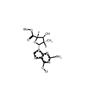 CCOc1nc(N)nc2c1ncn2[C@@H]1O[C@](F)(C(=O)OC(C)(C)C)[C@@H](O)[C@@]1(C)F